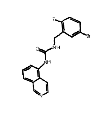 O=C(NCc1cc(Br)ccc1F)Nc1cccc2cnccc12